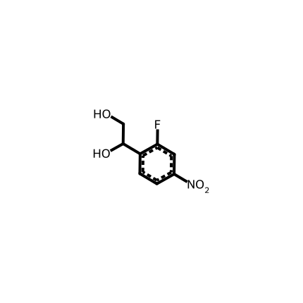 O=[N+]([O-])c1ccc(C(O)CO)c(F)c1